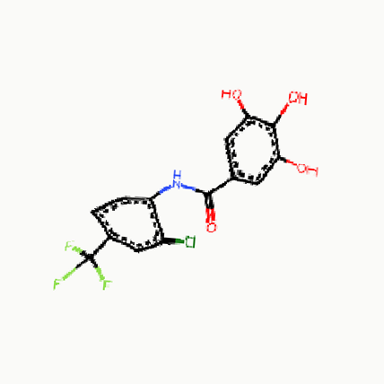 O=C(Nc1ccc(C(F)(F)F)cc1Cl)c1cc(O)c(O)c(O)c1